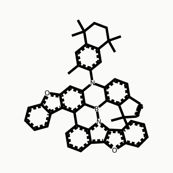 Cc1cc2c(cc1N1c3ccc4c(c3B3c5c1cc1oc6ccccc6c1c5-c1cccc5c6oc7ccccc7c6n3c15)C(C)(C)c1ccccc1-4)C(C)(C)CCC2(C)C